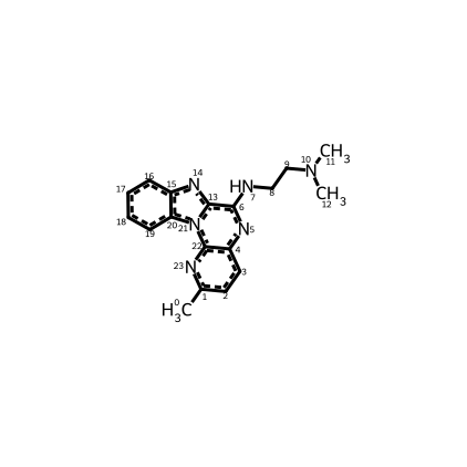 Cc1ccc2nc(NCCN(C)C)c3nc4ccccc4n3c2n1